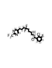 O=C(NCCCCC(F)(F)CCCc1cnc(C(F)(F)F)nc1)c1cccc(F)c1Cl